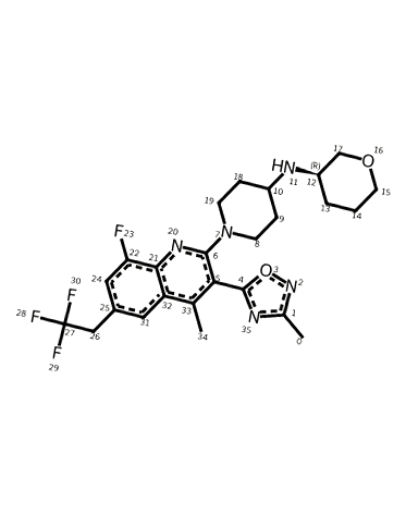 Cc1noc(-c2c(N3CCC(N[C@@H]4CCCOC4)CC3)nc3c(F)cc(CC(F)(F)F)cc3c2C)n1